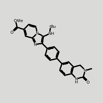 COC(=O)c1ccn2c(NC(C)(C)C)c(-c3ccc(-c4ccc5c(c4)CN(C)C(=O)N5)cc3)nc2c1